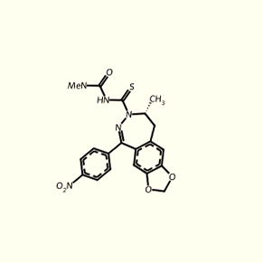 CNC(=O)NC(=S)N1N=C(c2ccc([N+](=O)[O-])cc2)c2cc3c(cc2C[C@H]1C)OCO3